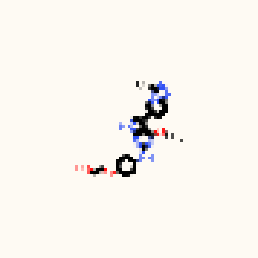 COc1nc(N[C@H]2CC[C@H](OCCO)CC2)nc2[nH]cc(-c3ccc4nnc(C)n4c3)c12